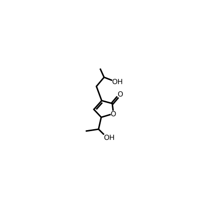 CC(O)CC1=CC(C(C)O)OC1=O